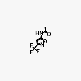 CC(=O)Nc1cc(C(F)(F)F)no1